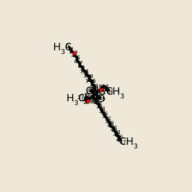 CCCCCCCCCCCCCCCCCCN1C(=O)C2=C(c3ccc(C)s3)N(CCCCCCCCCCCCCCCCCC)C(=O)C2=C1c1ccc(C)s1